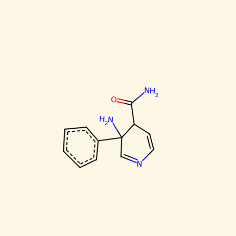 NC(=O)C1C=CN=CC1(N)c1ccccc1